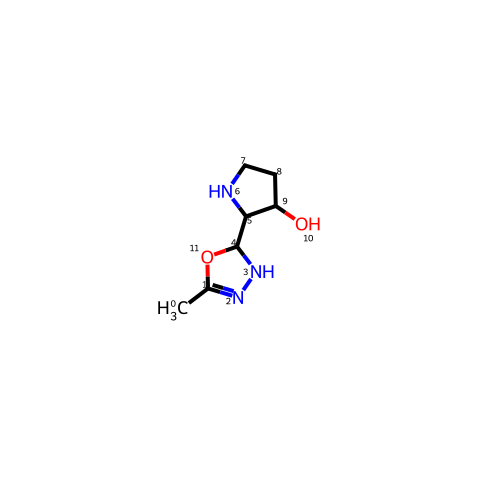 CC1=NNC(C2NCCC2O)O1